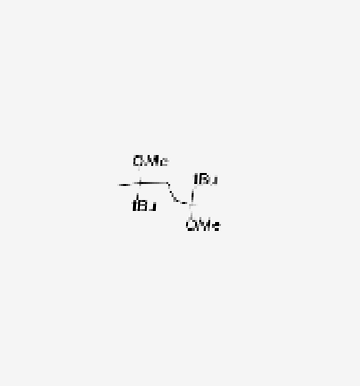 COC(C)(CCC(C)(OC)C(C)(C)C)C(C)(C)C